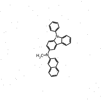 CN(c1ccc2ccccc2c1)c1ccc2c(c1)c1ccccc1n2-c1ccccc1